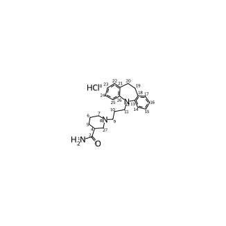 Cl.NC(=O)C1CCCN(CCCN2c3ccccc3CCc3ccccc32)C1